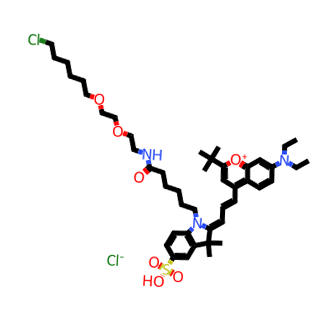 CCN(CC)c1ccc2c(C=CC=C3N(CCCCCC(=O)NCCOCCOCCCCCCCl)c4ccc(S(=O)(=O)O)cc4C3(C)C)cc(C(C)(C)C)[o+]c2c1.[Cl-]